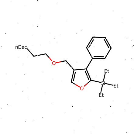 CCCCCCCCCCCCOCc1coc([Si](CC)(CC)CC)c1-c1ccccc1